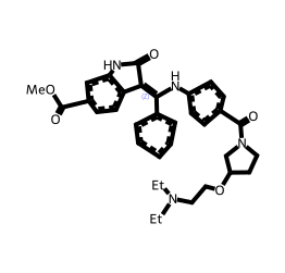 CCN(CC)CCOC1CCN(C(=O)c2ccc(N/C(=C3\C(=O)Nc4cc(C(=O)OC)ccc43)c3ccccc3)cc2)C1